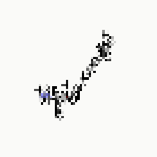 C=CC(=O)N1CCN(c2nc(NCCC(=O)N(C)CCOCCOCCOCCOCCOc3ccc4c(c3)C(=O)N(C3CCC(=O)NC3=O)C4=O)nc3c(F)c(/C(CO)=C(F)/C=C\C)c(Cl)cc23)CC1